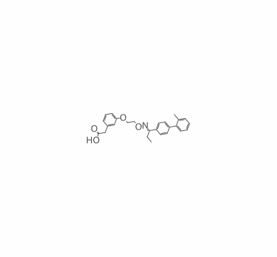 CC/C(=N\OCCOc1cccc(CC(=O)O)c1)c1ccc(-c2ccccc2C)cc1